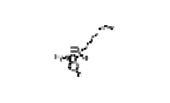 CCCCCCCCCCCCCCCCCC(=O)c1c(C(=O)O)n(C)c2ccc(Cl)cc12